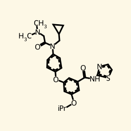 CC(C)Oc1cc(Oc2ccc(N(CC3CC3)C(=O)CN(C)C)cc2)cc(C(=O)Nc2nccs2)c1